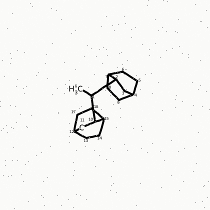 CC(C1CC2CCC1CC2)C1CC2CCC1CC2